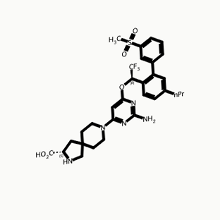 CCCc1ccc([C@@H](Oc2cc(N3CCC4(CC3)CN[C@H](C(=O)O)C4)nc(N)n2)C(F)(F)F)c(-c2cccc(S(C)(=O)=O)c2)c1